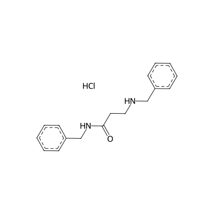 Cl.O=C(CCNCc1ccccc1)NCc1ccccc1